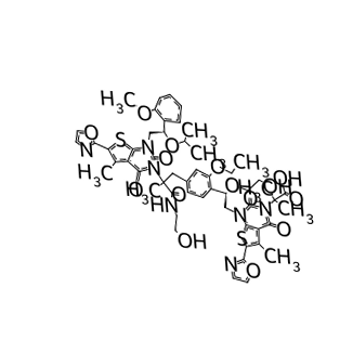 CCOc1cc(CC(C)(C(=O)NCCO)n2c(=O)c3c(C)c(-c4ncco4)sc3n(C[C@H](OC(C)C)c3ccccc3OC)c2=O)ccc1[C@H](Cn1c(=O)n(C(C)(C)C(=O)O)c(=O)c2c(C)c(-c3ncco3)sc21)OCCO